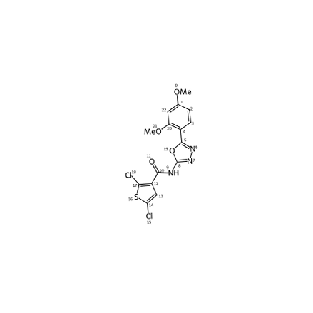 COc1ccc(-c2nnc(NC(=O)c3cc(Cl)sc3Cl)o2)c(OC)c1